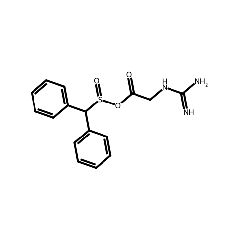 N=C(N)NCC(=O)OS(=O)C(c1ccccc1)c1ccccc1